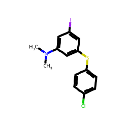 CN(C)c1cc(I)cc(Sc2ccc(Cl)cc2)c1